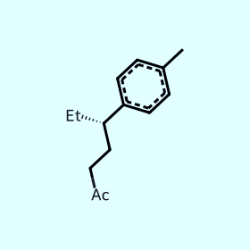 CC[C@@H](CCC(C)=O)c1ccc(C)cc1